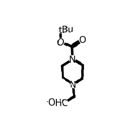 CC(C)(C)OC(=O)N1CCN(C[C]=O)CC1